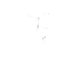 CC#CC(C)CC([O])=O